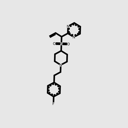 C=CC(c1ncccn1)S(=O)(=O)C1CCN(CCc2ccc(F)cc2)CC1